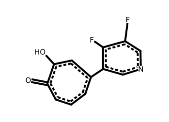 O=c1cccc(-c2cncc(F)c2F)cc1O